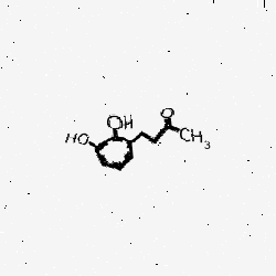 CC(=O)CCc1cccc(O)c1O